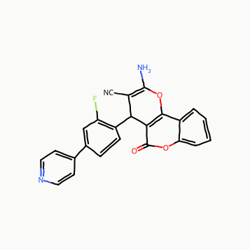 N#CC1=C(N)Oc2c(c(=O)oc3ccccc23)C1c1ccc(-c2ccncc2)cc1F